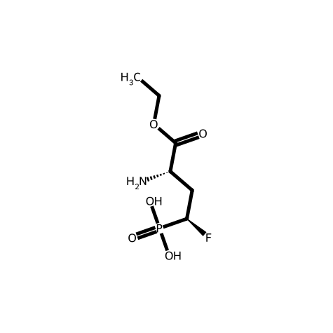 CCOC(=O)[C@@H](N)C[C@@H](F)P(=O)(O)O